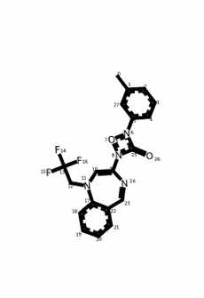 Cc1cccc(-n2on(C3=CN(CC(F)(F)F)c4ccccc4C=N3)c2=O)c1